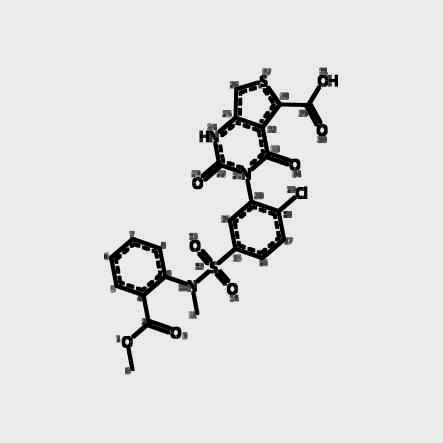 COC(=O)c1ccccc1N(C)S(=O)(=O)c1ccc(Cl)c(-n2c(=O)[nH]c3csc(C(=O)O)c3c2=O)c1